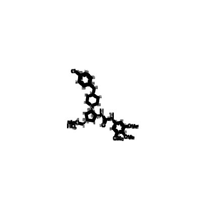 COC[C@H]1C[C@@H](NC(=O)Nc2cc(OC)c(OC)c(OC)c2)[C@@H](N2CCC(Cc3ccc(Cl)cc3)CC2)C1.Cl